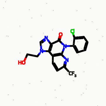 O=c1c2ncn(CCO)c2c2ccc(C(F)(F)F)nc2n1-c1ccccc1Cl